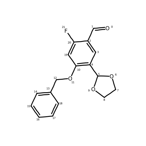 O=Cc1cc(C2OCCO2)c(OCc2ccccc2)cc1F